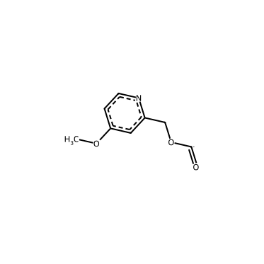 COc1ccnc(CO[C]=O)c1